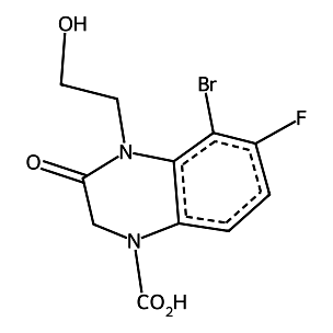 O=C(O)N1CC(=O)N(CCO)c2c1ccc(F)c2Br